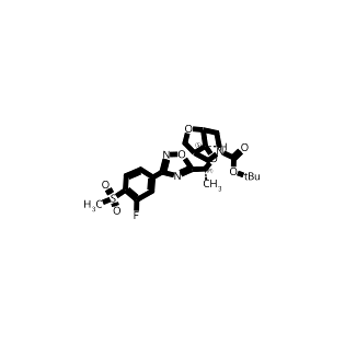 C[C@@H](O[C@H]1C2COC1CN(C(=O)OC(C)(C)C)C2)c1nc(-c2ccc(S(C)(=O)=O)c(F)c2)no1